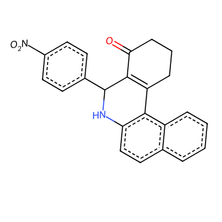 O=C1CCCC2=C1C(c1ccc([N+](=O)[O-])cc1)Nc1ccc3ccccc3c12